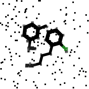 CNCCCc1ccccc1Cl.COc1cccc(C)c1